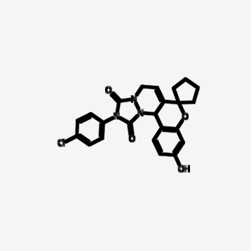 O=c1n(-c2ccc(Cl)cc2)c(=O)n2n1CC=C1C2c2ccc(O)cc2OC12CCCC2